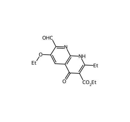 CCOC(=O)c1c(CC)[nH]c2nc(C=O)c(OCC)cc2c1=O